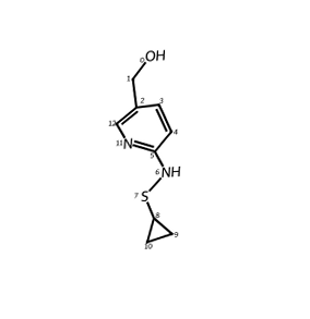 OCc1ccc(NSC2CC2)nc1